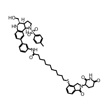 Cc1ccc(S(=O)(=O)N2CC[C@@H]3[C@H](CO)Nc4ccc(-c5cccc(NC(=O)CCCCCCCCCCSc6cccc7c6CN(C6CCC(=O)NC6=O)C7=O)c5)cc4[C@@H]32)cc1